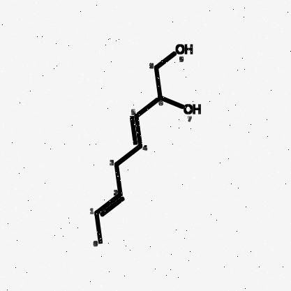 C/C=C/C/C=C/C(O)CO